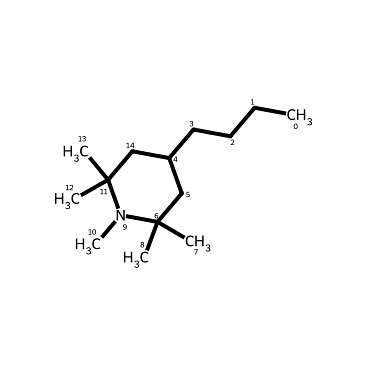 CCCCC1CC(C)(C)N(C)C(C)(C)C1